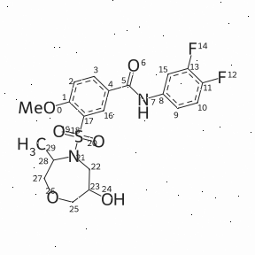 COc1ccc(C(=O)Nc2ccc(F)c(F)c2)cc1S(=O)(=O)N1CC(O)COCC1C